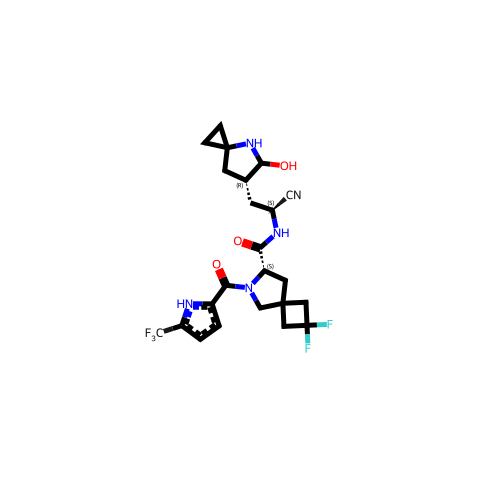 N#C[C@H](C[C@@H]1CC2(CC2)NC1O)NC(=O)[C@@H]1CC2(CN1C(=O)c1ccc(C(F)(F)F)[nH]1)CC(F)(F)C2